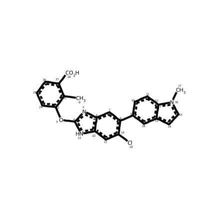 Cc1c(Oc2nc3cc(-c4ccc5c(ccn5C)c4)c(Cl)cc3[nH]2)cccc1C(=O)O